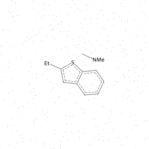 CCc1cc2ccccc2s1.CNC